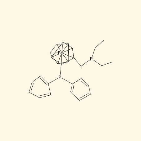 CCP(CC)C(C)[C]12[CH]3[CH]4[CH]5[C]1(P(c1ccccc1)c1ccccc1)[Fe]43521678[CH]2[CH]1[CH]6[CH]7[CH]28